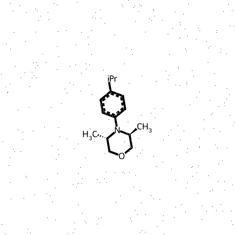 CC(C)c1ccc(N2[C@@H](C)COC[C@@H]2C)cc1